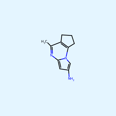 Cc1nc2cc(N)cn2c2c1CCC2